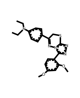 CCN(CC)c1ccc(C2=Nn3c(nnc3-c3ccc(OC)cc3OC)SC2)cc1